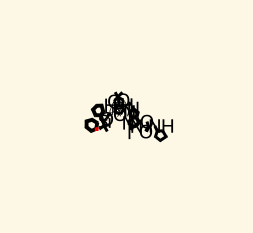 CC1(C)O[C@@H]2[C@H](O1)[C@@H](CO[Si](c1ccccc1)(c1ccccc1)C(C)(C)C)O[C@H]2n1ncc2c(OC(=O)NC3CCCC3)nc(I)nc21